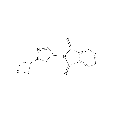 O=C1c2ccccc2C(=O)N1c1cn(C2COC2)nn1